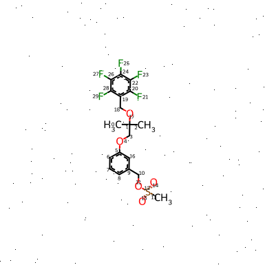 CC(C)(COc1cccc(COS(C)(=O)=O)c1)OCc1c(F)c(F)c(F)c(F)c1F